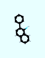 Fc1c(-c2ccccc2)ccc2ccccc12